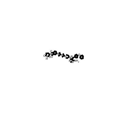 Nc1ncnc2c1c(-c1ccc(Oc3ccccc3)cc1)nn2C1CCN(C2CN(C3CN(c4ccc5c(c4)C(=O)N(C4CCC(=O)NC4=O)C5=O)C3)C2)CC1